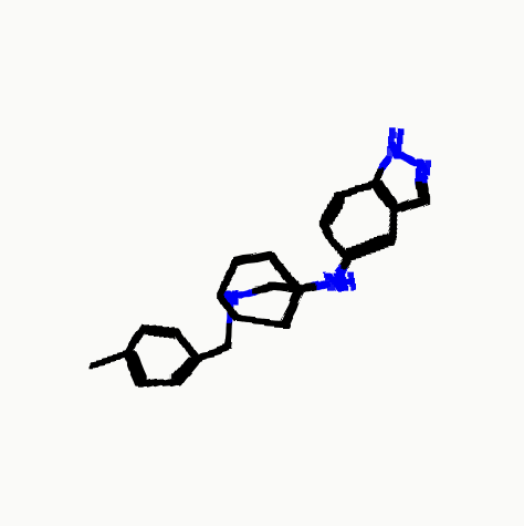 Cc1ccc(CN2CC3(Nc4ccc5[nH]ncc5c4)CCC2CC3)cc1